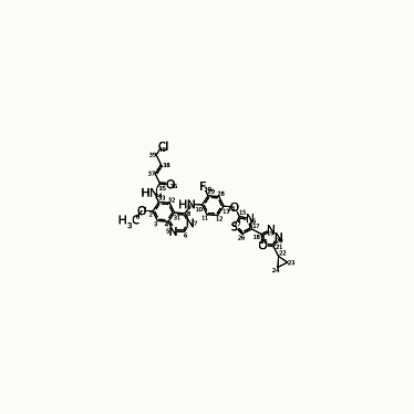 COc1cc2ncnc(Nc3ccc(Oc4nc(-c5nnc(C6CC6)o5)cs4)cc3F)c2cc1NC(=O)/C=C/CCl